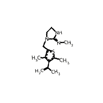 C=C(C)c1c(C)sc(CN2CCN/C2=N\C)c1C